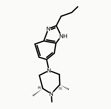 CCCc1nc2ccc(N3C[C@@H](C)N(C)[C@@H](C)C3)cc2[nH]1